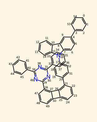 c1ccc(-c2ccc3c(c2)c2ccccc2n3-c2ccc(-c3cccc4c3-c3c(-c5nc(-c6ccccc6)nc(-c6ccccc6)n5)cccc3-4)cc2)cc1